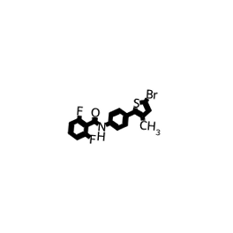 Cc1cc(Br)sc1-c1ccc(NC(=O)c2c(F)cccc2F)cc1